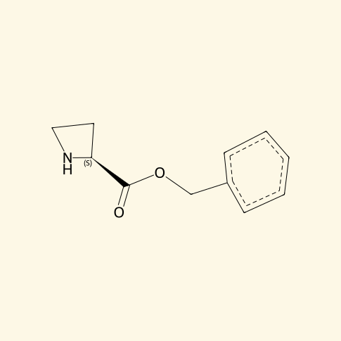 O=C(OCc1ccccc1)[C@@H]1CCN1